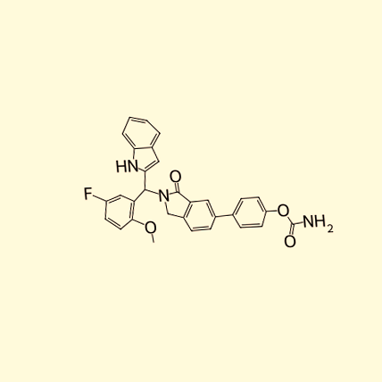 COc1ccc(F)cc1C(c1cc2ccccc2[nH]1)N1Cc2ccc(-c3ccc(OC(N)=O)cc3)cc2C1=O